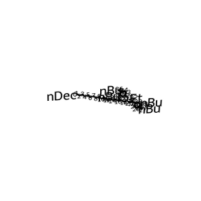 CCCCCCCCCCCCCCCCCCCCCCCCCCCCC([CH]C(CC)c1ccc(CCCC)c(CCCC)c1)Cc1ccc(CCCC)c(CCCC)c1